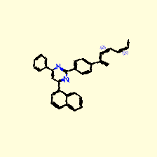 C=C(/C=C\C=C/C)c1ccc(-c2nc(-c3ccccc3)cc(-c3cccc4ccccc34)n2)cc1